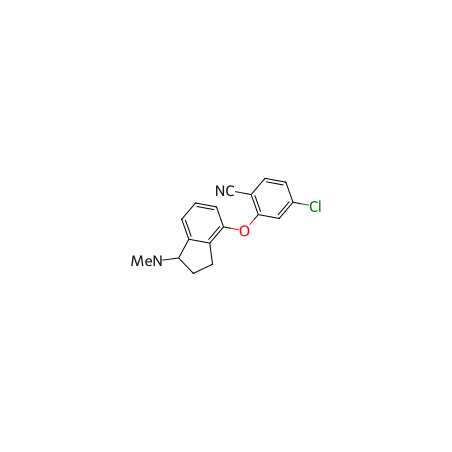 CNC1CCc2c(Oc3cc(Cl)ccc3C#N)cccc21